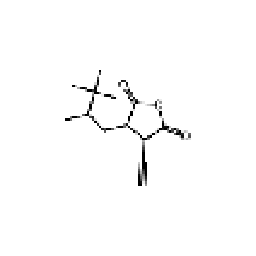 C#CC1C(=O)OC(=O)C1CC(C)C(C)(C)C